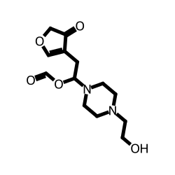 O=COC(CC1=COCC1=O)N1CCN(CCO)CC1